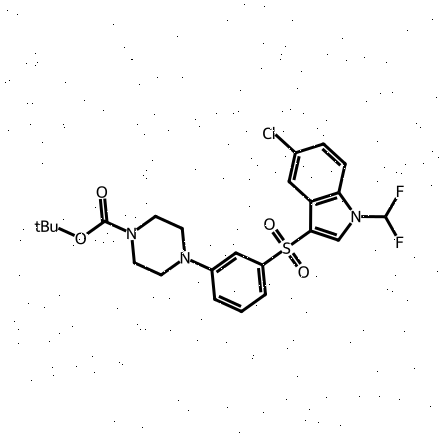 CC(C)(C)OC(=O)N1CCN(c2cccc(S(=O)(=O)c3cn(C(F)F)c4ccc(Cl)cc34)c2)CC1